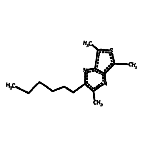 CCCCCCc1nc2c(C)sc(C)c2nc1C